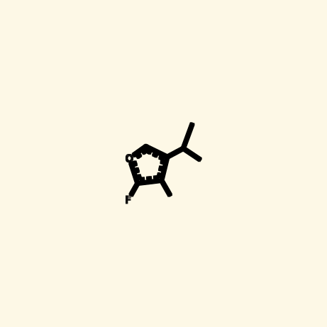 Cc1c(C(C)C)coc1F